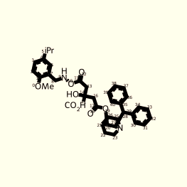 COc1ccc(C(C)C)cc1CNOC(=O)CC(O)(CC(=O)OC1C2CCN(CC2)C1C(c1ccccc1)c1ccccc1)C(=O)O